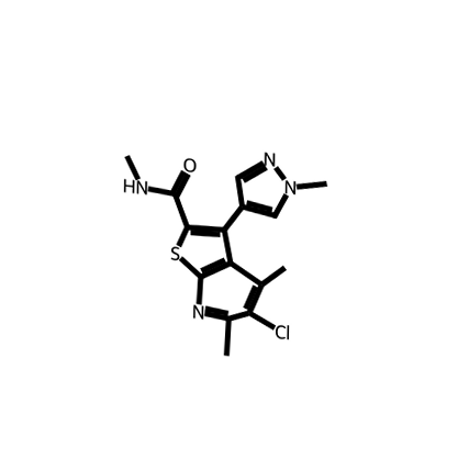 CNC(=O)c1sc2nc(C)c(Cl)c(C)c2c1-c1cnn(C)c1